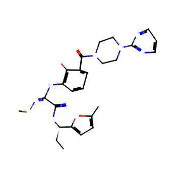 CC[C@@H](NC(=N)/C(=N\SC)Nc1cccc(C(=O)N2CCN(c3ncccn3)CC2)c1O)c1ccc(C)o1